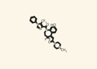 CN1CCN(C(=O)C=C2c3ccccc3N(C(=O)c3ncn(-c4ccccc4)c3C(F)(F)F)CCC2(F)F)CC1.Cl